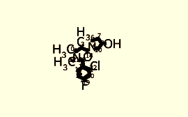 CC([C@H](C)CN1CC[C@H](O)C1)N(C)C(=O)c1ccc(F)cc1Cl